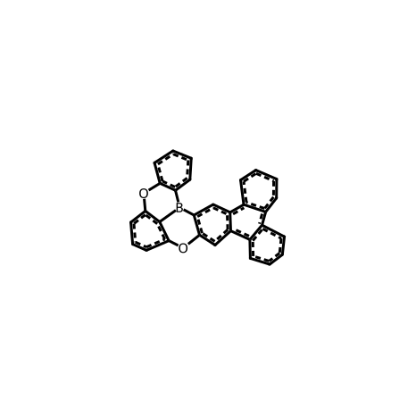 c1ccc2c(c1)Oc1cccc3c1B2c1cc2c4ccccc4c4ccccc4c2cc1O3